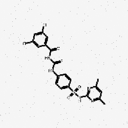 Cc1cc(C)nc(NS(=O)(=O)c2ccc(NC(=S)NC(=O)c3cc(Cl)cc(Cl)c3)cc2)n1